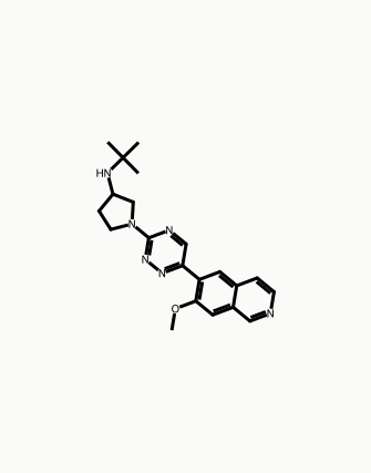 COc1cc2cnccc2cc1-c1cnc(N2CCC(NC(C)(C)C)C2)nn1